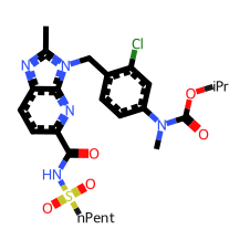 CCCCCS(=O)(=O)NC(=O)c1ccc2nc(C)n(Cc3ccc(N(C)C(=O)OC(C)C)cc3Cl)c2n1